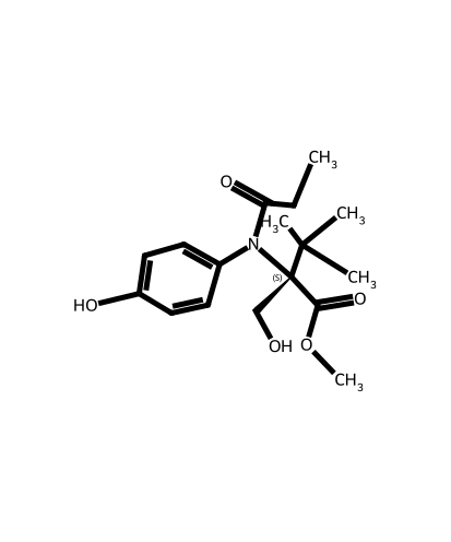 CCC(=O)N(c1ccc(O)cc1)[C@@](CO)(C(=O)OC)C(C)(C)C